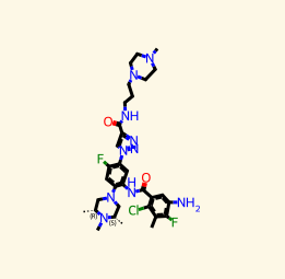 Cc1c(F)c(N)cc(C(=O)Nc2cc(-n3cc(C(=O)NCCCN4CCN(C)CC4)nn3)c(F)cc2N2C[C@@H](C)N(C)[C@@H](C)C2)c1Cl